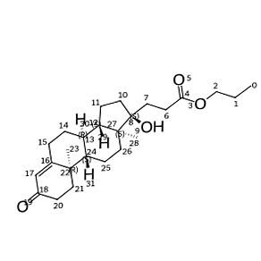 CCCOC(=O)CC[C@@]1(O)CC[C@H]2[C@@H]3CCC4=CC(=O)CC[C@]4(C)[C@H]3CC[C@@]21C